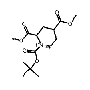 COC(=O)C(C[18F])CC(NC(=O)OC(C)(C)C)C(=O)OC